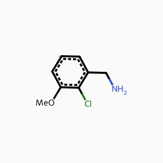 COc1c[c]cc(CN)c1Cl